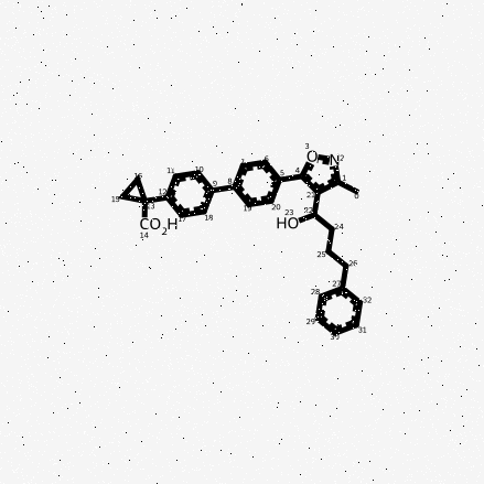 Cc1noc(-c2ccc(-c3ccc(C4(C(=O)O)CC4)cc3)cc2)c1C(O)CCCc1ccccc1